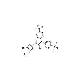 Cn1nc(NC(=O)C(c2ccc(C(F)(F)F)cc2)c2ccc(C(F)(F)F)cc2)cc1Br